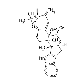 C=C1C=C2[C@@]3(CC[C@]4(C)[C@@]5(C)c6[nH]c7ccccc7c6C[C@@H]5C[C@H](O)[C@@]24O)O[C@@H]1C(C)(C)O3